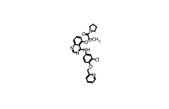 C[C@@H](Oc1cccc2ncnc(Nc3ccc(OCc4ccccn4)c(Cl)c3)c12)C(=O)N1CCCC1